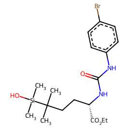 CCOC(=O)[C@H](CCC(C)(C)[Si](C)(C)O)NC(=O)Nc1ccc(Br)cc1